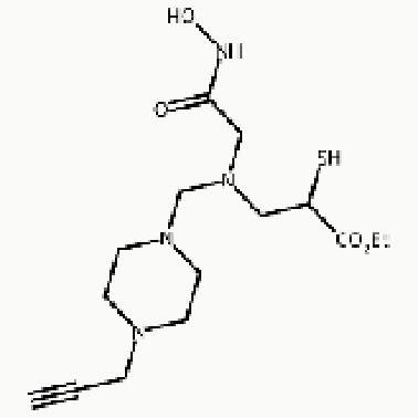 C#CCN1CCN(CN(CC(=O)NO)CC(S)C(=O)OCC)CC1